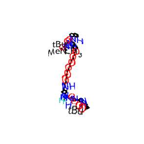 CN[C@@H](C)C(=O)N[C@H](C(=O)N1Cc2cc(OCCOCCOCCOCCOCCOCCNCc3ccc(-n4cc(NC(=O)c5coc(-c6ccnc(N(CC7CC7)C(=O)OC(C)(C)C)c6)n5)c(C(F)F)n4)cc3)ccc2C[C@H]1C(=O)N[C@@H]1CCCc2ccccc21)C(C)(C)C